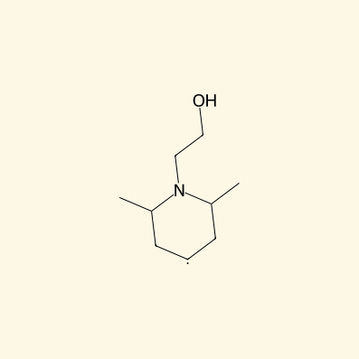 CC1C[CH]CC(C)N1CCO